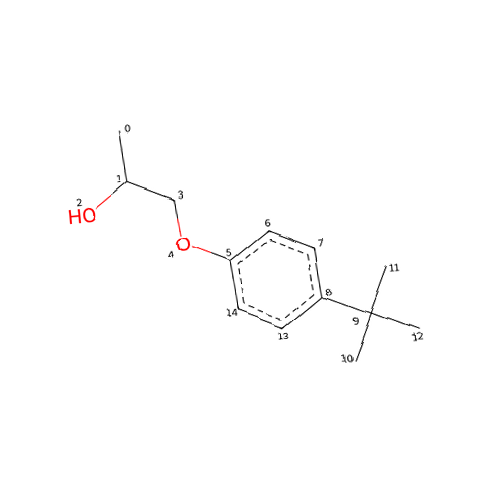 CC(O)COc1ccc(C(C)(C)C)cc1